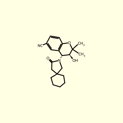 CC1(C)Oc2ccc(C#N)cc2[C@@H](N2CC3(CCCCC3)CC2=O)[C@@H]1O